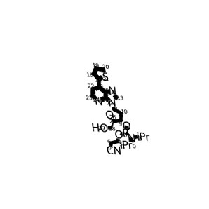 CC(C)N(C(C)C)P(OCCC#N)OC1CC(n2cnc3c(-c4cccs4)ccnc32)O[C@@H]1CO